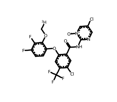 [2H]COc1c(Oc2cc(C(F)(F)F)c(Cl)cc2C(=O)Nc2ncc(Cl)c[n+]2[O-])ccc(F)c1F